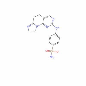 NS(=O)(=O)c1ccc(Nc2ncc3c(n2)-n2ccnc2CC3)cc1